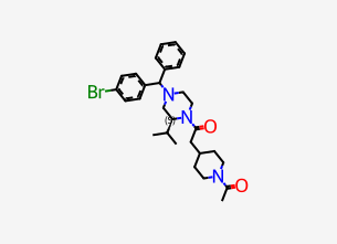 CC(=O)N1CCC(CC(=O)N2CCN(C(c3ccccc3)c3ccc(Br)cc3)C[C@@H]2C(C)C)CC1